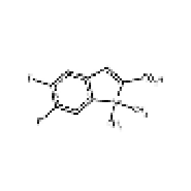 C[N+]1(C)C(C(=O)O)=Cc2cc(F)c(F)cc21